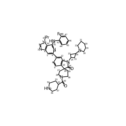 CC(C)n1cnc2cc(-c3ccc4c(c3)N(C3CC(N5CCCCC5)C3)C(=O)C43CCN(C(=O)C4CCNCC4)CC3)nc(Nc3ccccc3F)c21